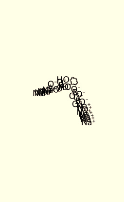 Oc1ccccc1O.[Na+].[Na+].[Na+].[Na+].[Na+].[Na+].[Na+].[Na+].[Na+].[Na+].[Na+].[Na+].[O-]B([O-])[O-].[O-]B([O-])[O-].[O-]B([O-])[O-].[O-]B([O-])[O-]